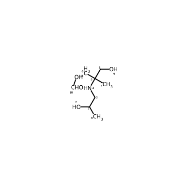 CC(O)CNC(C)(C)CO.O=CO